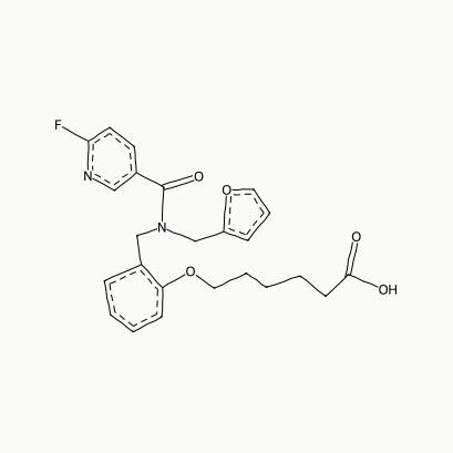 O=C(O)CCCCCOc1ccccc1CN(Cc1ccco1)C(=O)c1ccc(F)nc1